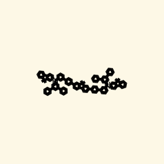 CC1(C)c2cc(-c3ccc(-c4cccc(N(c5cc(-c6ccccc6)cc(-c6ccccc6)c5)c5ccc6c(c5)C(C)(C)c5ccccc5-6)c4)cc3)ccc2-c2ccc(-c3ccc(-c4cccc(N(c5cc(-c6ccccc6)cc(-c6ccccc6)c5)c5ccc6c(c5)C(C)(C)c5ccccc5-6)c4)cc3)cc21